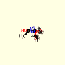 [2H]C([2H])([2H])OC([2H])([2H])COc1cc2ncnc(Nc3ccc(O)c(C#CC)c3)c2cc1OCC([2H])([2H])OC([2H])([2H])[2H]